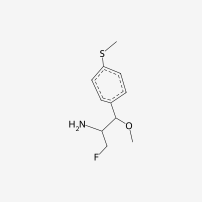 COC(c1ccc(SC)cc1)C(N)CF